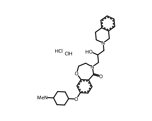 CNC1CCC(Oc2ccc3c(c2)OCCN(CC(O)CN2CCc4ccccc4C2)C3=O)CC1.Cl.Cl